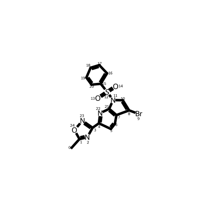 Cc1nc(-c2ccc3c(Br)cn(S(=O)(=O)c4ccccc4)c3n2)no1